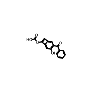 O=C(O)OC1=Cc2cc(C(=O)c3ccccc3)c(O)cc21